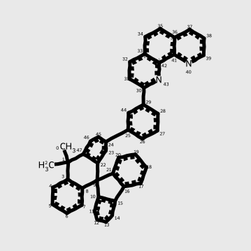 CC1(C)c2ccccc2C2(c3ccccc3-c3ccccc32)c2cc(-c3cccc(-c4ccc5ccc6cccnc6c5n4)c3)ccc21